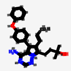 CC(C)(O)CCc1c(C=CC(=O)O)c(-c2ccc(Oc3ccccc3)cc2)c2c(N)ncnn12